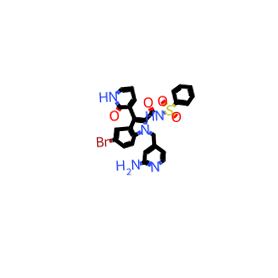 Nc1cc(Cn2c(C(=O)NS(=O)(=O)c3ccccc3)c(-c3ccc[nH]c3=O)c3cc(Br)ccc32)ccn1